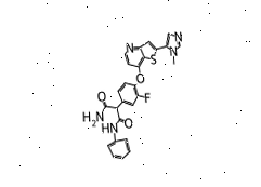 Cn1cncc1-c1cc2nccc(Oc3ccc(C(C(N)=O)C(=O)Nc4ccccc4)cc3F)c2s1